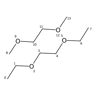 CCOCCOCC.COCCOC